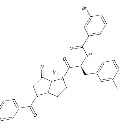 Cc1cccc(C[C@H](NC(=O)c2cccc(Br)c2)C(=O)N2CCC3[C@H]2C(=O)CN3C(=O)c2ccccc2)c1